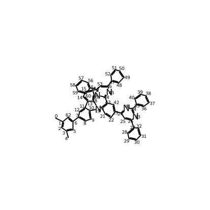 Cc1cc(C)cc(-c2ccc3c(c2)c2ccccc2n3-c2ccc(-c3cc(-c4ccccc4)nc(-c4ccccc4)n3)cc2-c2nc(-c3ccccc3)cc(-c3ccccc3)n2)c1